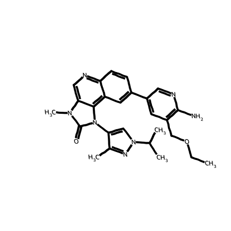 CCOCc1cc(-c2ccc3ncc4c(c3c2)n(-c2cn(C(C)C)nc2C)c(=O)n4C)cnc1N